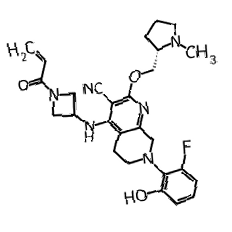 C=CC(=O)N1CC(Nc2c(C#N)c(OC[C@@H]3CCCN3C)nc3c2CCN(c2c(O)cccc2F)C3)C1